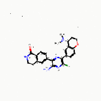 CN(C)[C@@H]1CCOc2ccc(-c3nc(-c4ccc5c(c4)CCNC5=O)c(N)nc3F)cc21